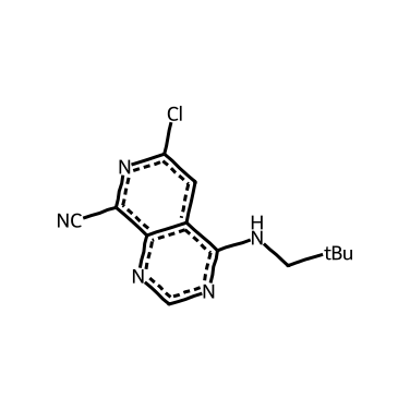 CC(C)(C)CNc1ncnc2c(C#N)nc(Cl)cc12